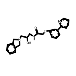 O=C(COc1cccc(-c2ccccn2)c1)NCC(O)CN1Cc2ccccc2C1